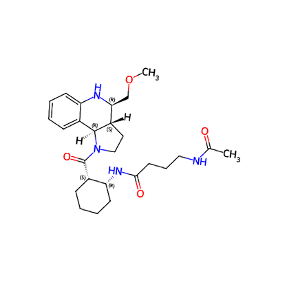 COC[C@@H]1Nc2ccccc2[C@H]2[C@H]1CCN2C(=O)[C@H]1CCCC[C@H]1NC(=O)CCCNC(C)=O